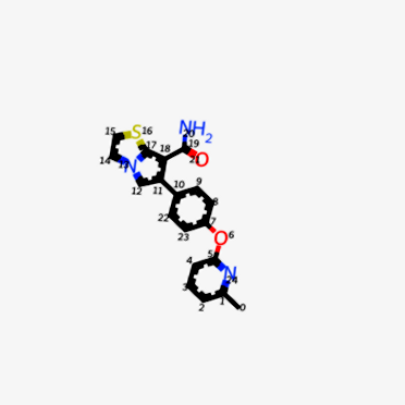 Cc1cccc(Oc2ccc(-c3cn4ccsc4c3C(N)=O)cc2)n1